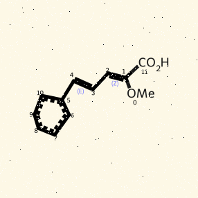 CO/C(=C\C=C\c1ccccc1)C(=O)O